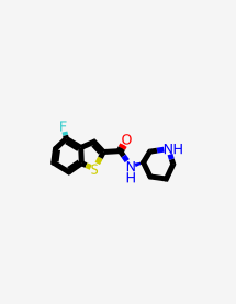 O=C(N[C@@H]1CCCNC1)c1cc2c(F)cccc2s1